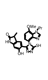 COc1ccc(-n2c(S)nnc2-c2cc3c(cc2O)NC(=O)C3C)c2ncn(C(C)C)c12